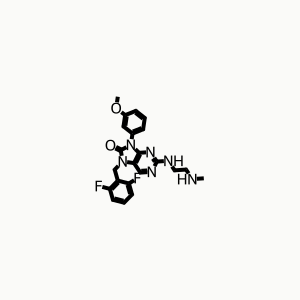 CNCCNc1ncc2c(n1)n(-c1cccc(OC)c1)c(=O)n2Cc1c(F)cccc1F